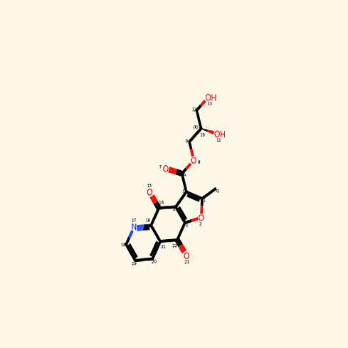 Cc1oc2c(c1C(=O)OC[C@H](O)CO)C(=O)c1ncccc1C2=O